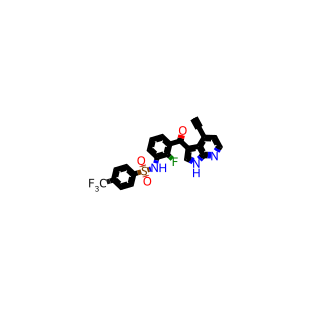 C#Cc1ccnc2[nH]cc(C(=O)c3cccc(NS(=O)(=O)c4ccc(C(F)(F)F)cc4)c3F)c12